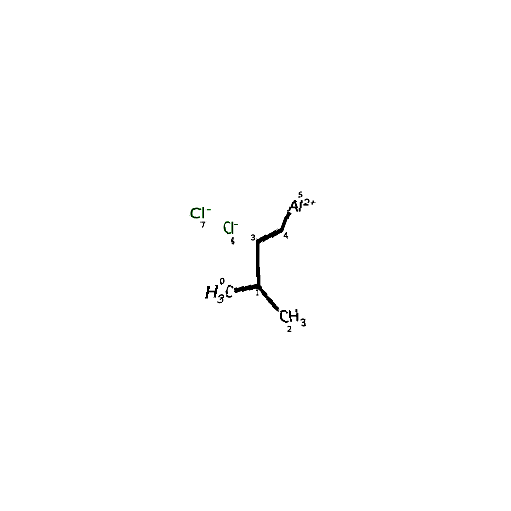 CC(C)C[CH2][Al+2].[Cl-].[Cl-]